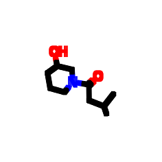 CC(C)CC(=O)N1CCCC(O)C1